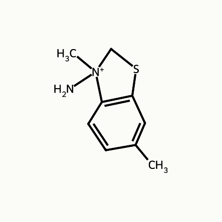 Cc1ccc2c(c1)SC[N+]2(C)N